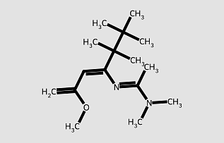 C=C(/C=C(\N=C(/C)N(C)C)C(C)(C)C(C)(C)C)OC